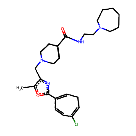 Cc1oc(C2=CCC=C(Cl)C=C2)nc1CN1CCC(C(=O)NCCN2CCCCCC2)CC1